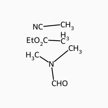 CC#N.CCOC(C)=O.CN(C)C=O